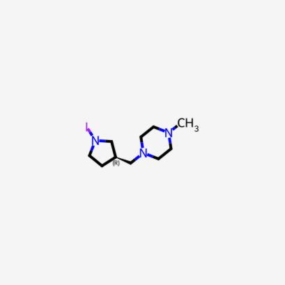 CN1CCN(C[C@H]2CCN(I)C2)CC1